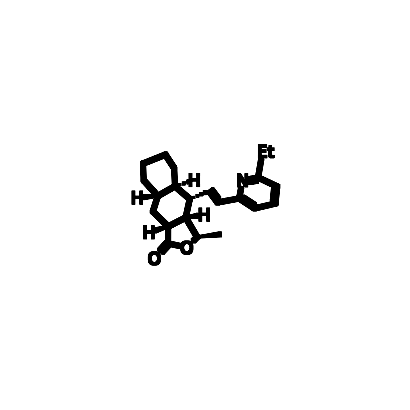 CCc1cccc(/C=C/[C@H]2[C@@H]3CCCC[C@H]3C[C@H]3C(=O)O[C@H](C)[C@@H]23)n1